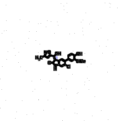 COc1cc(-c2cc3c(cc2Cl)NC(=O)/C3=C(/O)c2cc(C)no2)ccc1O